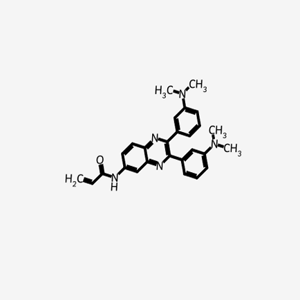 C=CC(=O)Nc1ccc2nc(-c3cccc(N(C)C)c3)c(-c3cccc(N(C)C)c3)nc2c1